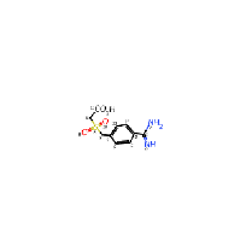 N=C(N)c1ccc(CS(=O)(=O)CC(=O)O)cc1